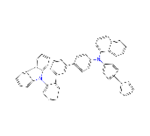 c1ccc(-c2ccc(N(c3ccc(-c4cccc(-c5ccccc5-n5c6ccccc6c6ccccc65)c4)cc3)c3cccc4ccccc34)cc2)cc1